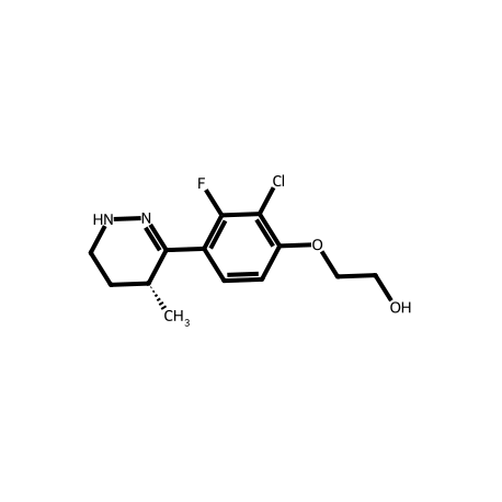 C[C@@H]1CCNN=C1c1ccc(OCCO)c(Cl)c1F